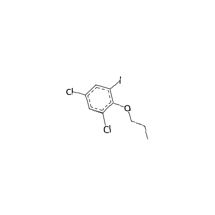 CCCOc1c(Cl)cc(Cl)cc1I